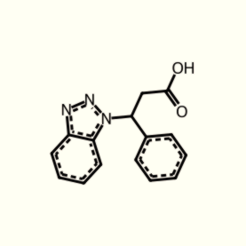 O=C(O)CC(c1ccccc1)n1nnc2ccccc21